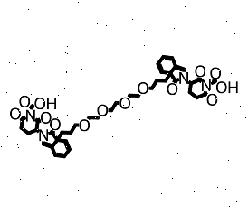 O=C(O)N1C(=O)CCC(N2C=C3C=CC=CC3(CCCOCCOCCOCCOCCCC34C=CC=CC3=CN(C3CCC(=O)N(C(=O)O)C3=O)C4=O)C2=O)C1=O